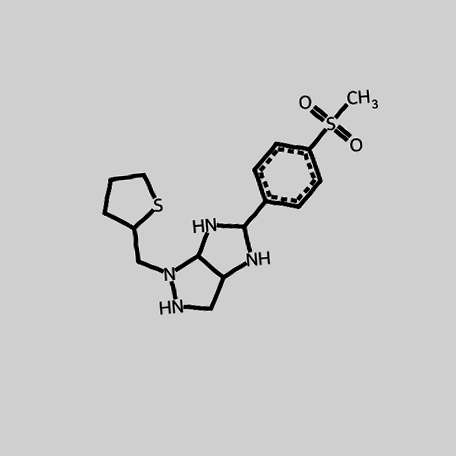 CS(=O)(=O)c1ccc(C2NC3CNN(CC4CCCS4)C3N2)cc1